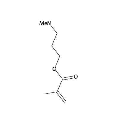 C=C(C)C(=O)OCCCNC